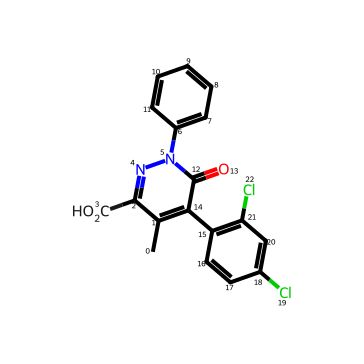 Cc1c(C(=O)O)nn(-c2ccccc2)c(=O)c1-c1ccc(Cl)cc1Cl